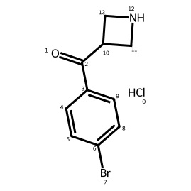 Cl.O=C(c1ccc(Br)cc1)C1CNC1